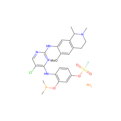 COc1cc2c(cc1Nc1ncc(Cl)c(Nc3ccc(OS(=O)(=O)F)cc3OP(C)C)n1)C(C)N(C)CC2.P